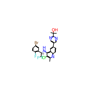 Cc1nc2ccc(-c3cnc(C(C)(C)O)nc3)cc2c(N[C@@H](c2cc(Br)ccc2F)C(F)F)c1Cl